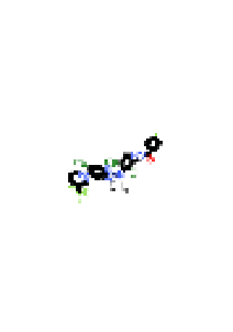 Cn1c(Nc2c(Cl)ccc(CNC(=O)c3ccc(F)cc3)c2Cl)nc2cc(Cl)c(N3CCCC(C(F)(F)F)C3)cc21